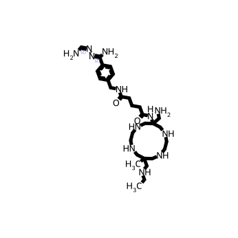 CCNCC1(C)CNCCNCC(CN)(NC(=O)CCCC(=O)NCc2ccc(/C(N)=N/N=C\N)cc2)CNCCNC1